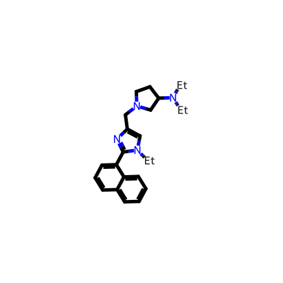 CCN(CC)C1CCN(Cc2cn(CC)c(-c3cccc4ccccc34)n2)C1